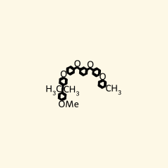 COc1ccc(C(C)(C)c2ccc(Oc3ccc(C(=O)c4cccc(C(=O)c5ccc(Oc6cccc(C)c6)cc5)c4)cc3)cc2)cc1